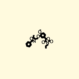 CCCN1C(=O)OC(c2ccc(OC)c(OCc3nc(-c4ccccc4)oc3C)c2)C1=O